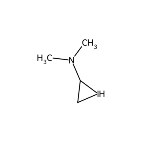 CN(C)C1C[IH]1